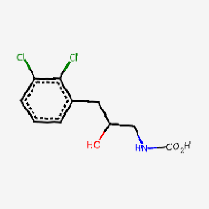 O=C(O)NCC(O)Cc1cccc(Cl)c1Cl